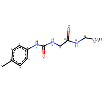 Cc1ccc(NC(=O)NCC(=O)NCC(=O)O)cc1